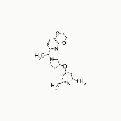 Cc1cc(O[C@H]2CCN(C(C)c3ccc4c(n3)OCCO4)C2)cc(C)n1